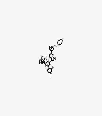 CS(=O)(=O)Nc1cc(-c2cnn3cc(-c4cnn(CCN5CCOCC5)c4)ccc23)cc(-c2ccc(F)cc2F)n1